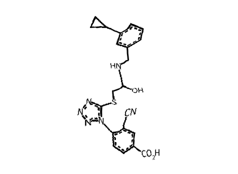 N#Cc1cc(C(=O)O)ccc1-n1nnnc1SCC(O)NCc1cccc(C2CC2)c1